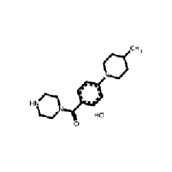 CC1CCN(c2ccc(C(=O)N3CCNCC3)cc2)CC1.Cl